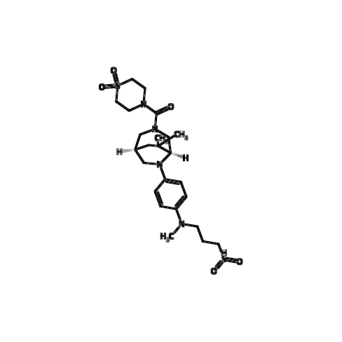 CN(CCC[SH](=O)=O)c1ccc(N2C[C@H]3CN(C(=O)N4CCS(=O)(=O)CC4)C[C@@H]2C(C)(C)C3)cc1